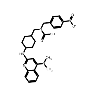 CN(C)c1cc(NC2CCC(CN(Cc3ccc([N+](=O)[O-])cc3)C(=O)O)CC2)nc2ccccc12